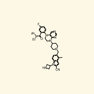 CCN(C(=O)c1cc(F)ccc1N1CCN(C2CCN(Cc3ccc4c(cc(C#N)n4C4CNC4)c3C)CC2)c2ncncc21)C(C)C